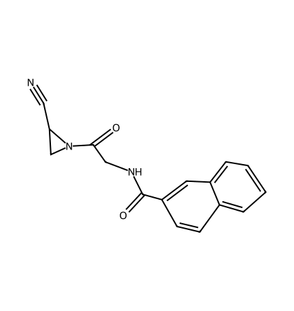 N#CC1CN1C(=O)CNC(=O)c1ccc2ccccc2c1